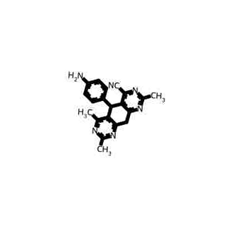 Cc1nc(C)c2c(n1)Cc1nc(C)nc(C#N)c1C2c1ccc(N)cc1